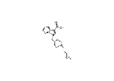 CCCCN1CCC(Cn2cc(C(=O)O)c3cccnc32)CC1